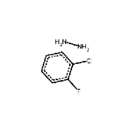 Fc1ccccc1Cl.NN